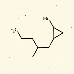 CC(CCC(F)(F)F)CC1CC1C(C)(C)C